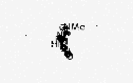 CNC(=O)c1nc(-c2cnc(Nc3ccc(N4CCOCC4)cc3)c3ncnn23)cs1